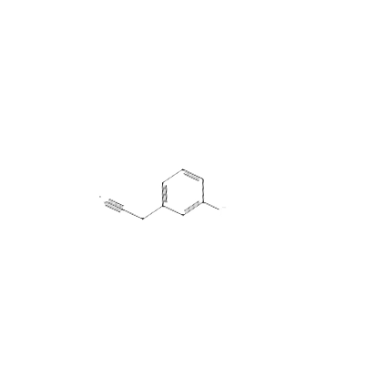 N#C[CH]c1cccc(F)c1